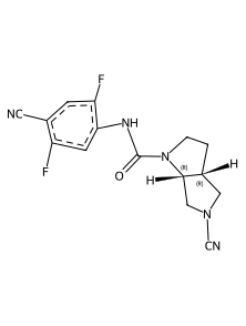 N#Cc1cc(F)c(NC(=O)N2CC[C@@H]3CN(C#N)C[C@@H]32)cc1F